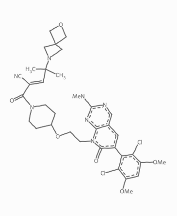 CNc1ncc2cc(-c3c(Cl)c(OC)cc(OC)c3Cl)c(=O)n(CCOC3CCN(C(=O)C(C#N)=CC(C)(C)N4CC5(COC5)C4)CC3)c2n1